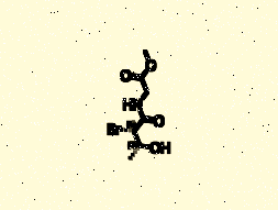 COC(=O)CNC(=O)[C@@H](Br)[C@@H](C)O